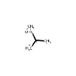 CC(C)C=O.[CH3]